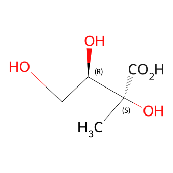 C[C@@](O)(C(=O)O)[C@H](O)CO